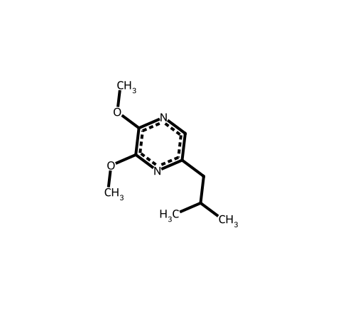 COc1ncc(CC(C)C)nc1OC